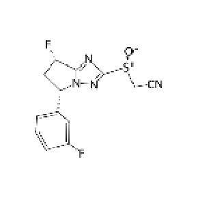 N#CC[S@+]([O-])c1nc2n(n1)[C@H](c1cccc(F)c1)C[C@@H]2F